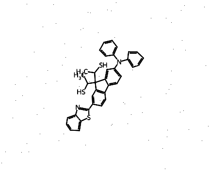 CC(S)C1(C(C)S)c2cc(-c3nc4ccccc4s3)ccc2-c2ccc(N(c3ccccc3)c3ccccc3)cc21